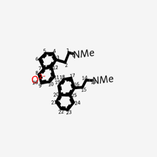 C[NH2+]CCc1cccc2ccccc12.C[NH2+]CCc1cccc2ccccc12.[O-2]